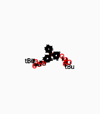 CC(C)(C)OC(=O)OCOc1ccc([S+](c2ccccc2)c2ccc(OCOC(=O)OC(C)(C)C)cc2)cc1